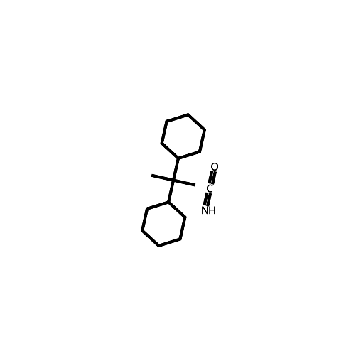 CC(C)(C1CCCCC1)C1CCCCC1.N=C=O